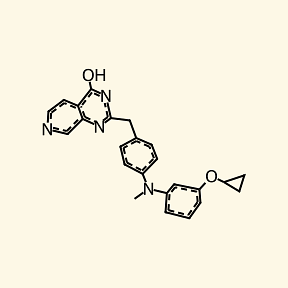 CN(c1ccc(Cc2nc(O)c3ccncc3n2)cc1)c1cccc(OC2CC2)c1